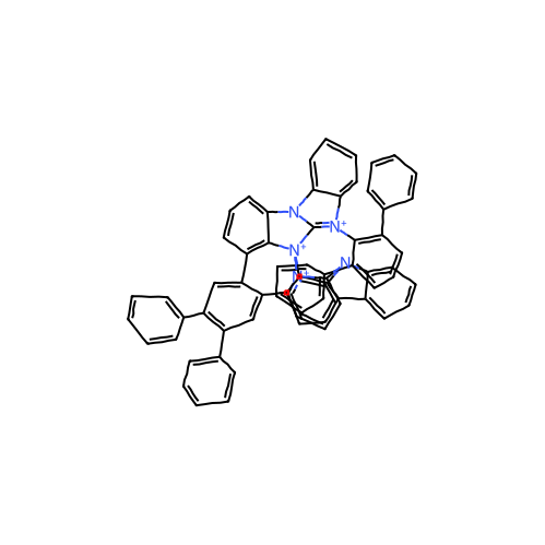 c1ccc(-c2cc3c(cc2-c2ccccc2)-c2ccc4c5ccccc5n5c4c2[N+]2(c4c-3cccc4-n3c2[n+](-c2c(-c4ccccc4)cccc2-c2ccccc2)c2ccccc23)[n+]2ccccc2-5)cc1